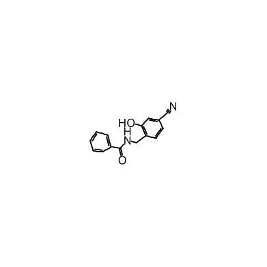 N#Cc1ccc(CNC(=O)c2ccccc2)c(O)c1